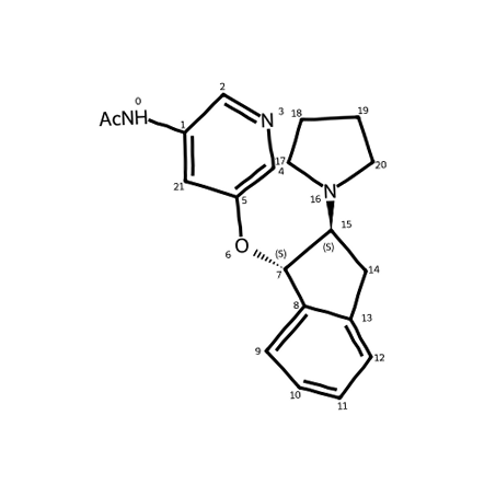 CC(=O)Nc1cncc(O[C@H]2c3ccccc3C[C@@H]2N2CCCC2)c1